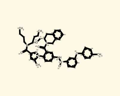 CCCCN(CCCC)C(=O)c1cc(C)n(-c2ccc(N[S+]([O-])c3cccc(Oc4ccc(C)cc4)c3)cc2C(=O)N2Cc3ccccc3C[C@H]2CO)n1